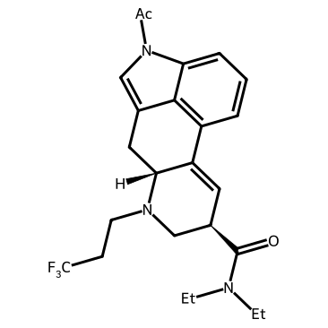 CCN(CC)C(=O)[C@@H]1C=C2c3cccc4c3c(cn4C(C)=O)C[C@H]2N(CCC(F)(F)F)C1